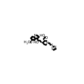 COc1ccc2nccc(C(O)CC[C@@H]3CCN(CCSc4nccs4)C[C@@H]3CC(=O)O)c2c1